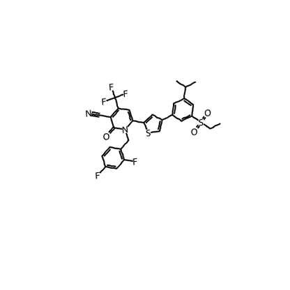 CCS(=O)(=O)c1cc(-c2csc(-c3cc(C(F)(F)F)c(C#N)c(=O)n3Cc3ccc(F)cc3F)c2)cc(C(C)C)c1